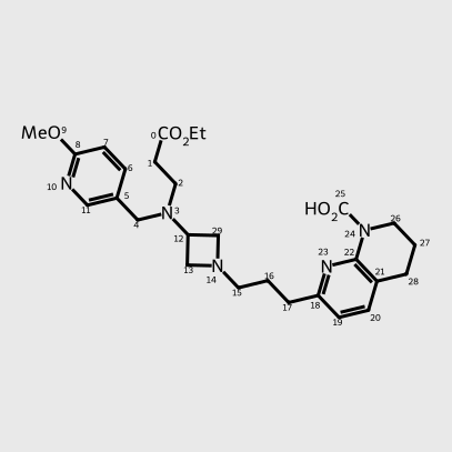 CCOC(=O)CCN(Cc1ccc(OC)nc1)C1CN(CCCc2ccc3c(n2)N(C(=O)O)CCC3)C1